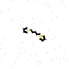 C1=C[SH](CCCCC[SH]2C=CC=C2)C=C1